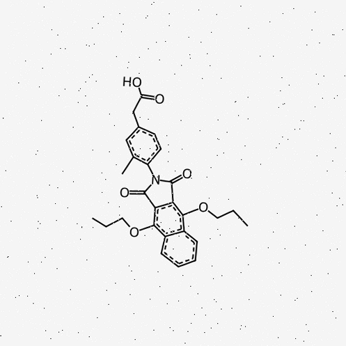 CCCOc1c2c(c(OCCC)c3ccccc13)C(=O)N(c1ccc(CC(=O)O)cc1C)C2=O